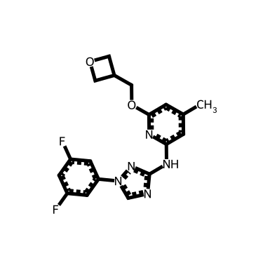 Cc1cc(Nc2ncn(-c3cc(F)cc(F)c3)n2)nc(OCC2COC2)c1